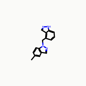 Cc1ccc2c(cnn2Cc2cccc3[nH]ncc23)c1